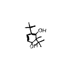 CC(C)(C)C1=C(O)C(C)(C(C)(C)C)C(O)C=C1